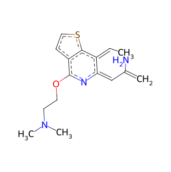 C=C(N)/C=c1/nc(OCCN(C)C)c2ccsc2/c1=C/C